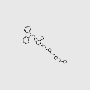 O=[C]COCCOCCNC(=O)OCC1c2ccccc2-c2ccccc21